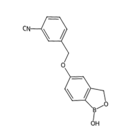 [C-]#[N+]c1cccc(COc2ccc3c(c2)COB3O)c1